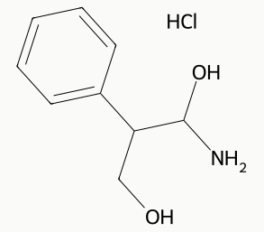 Cl.NC(O)C(CO)c1ccccc1